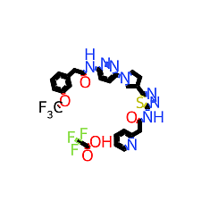 O=C(Cc1cccc(OC(F)(F)F)c1)Nc1ccc(N2CCC(c3nnc(NC(=O)Cc4ccccn4)s3)C2)nn1.O=C(O)C(F)(F)F